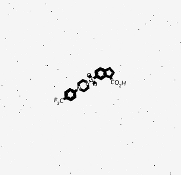 O=C(O)C1CCc2ccc(S(=O)(=O)N3CCN(c4ccc(C(F)(F)F)cc4)CC3)cc21